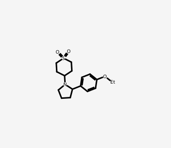 CCOc1ccc(C2CCCN2C2CCS(=O)(=O)CC2)cc1